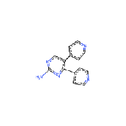 Nc1ncc(-c2ccncc2)c(-c2ccncc2)n1